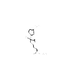 N[C@H]1CC[C@H](C(N)(CCCCB(O)O)C(=O)O)C1